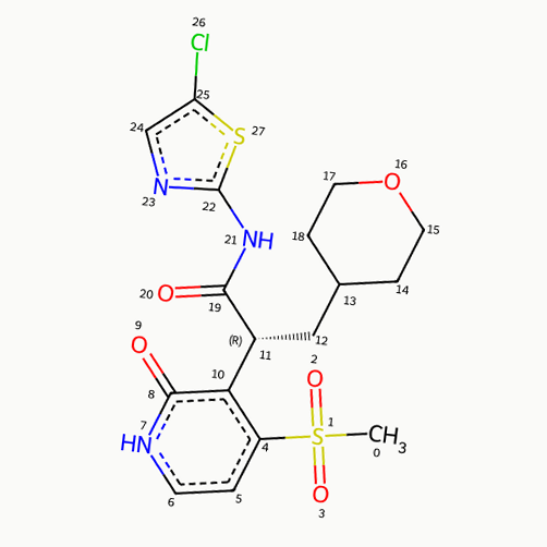 CS(=O)(=O)c1cc[nH]c(=O)c1[C@@H](CC1CCOCC1)C(=O)Nc1ncc(Cl)s1